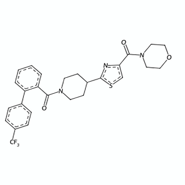 O=C(c1csc(C2CCN(C(=O)c3ccccc3-c3ccc(C(F)(F)F)cc3)CC2)n1)N1CCOCC1